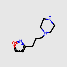 c1cc(CCCN2CCNCC2)no1